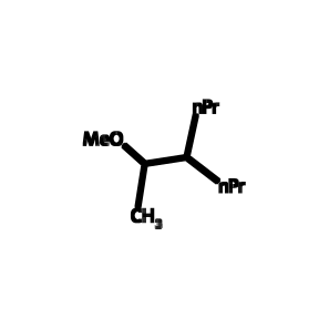 CCCC(CCC)C(C)OC